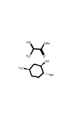 CC(C)[C@@H]1CC[C@@H](C)C[C@H]1O.COC(=O)C(C)O